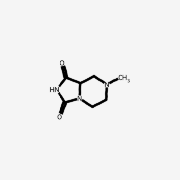 CN1CCN2C(=O)NC(=O)C2C1